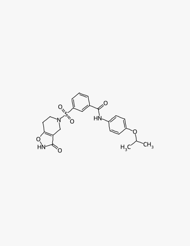 CC(C)Oc1ccc(NC(=O)c2cccc(S(=O)(=O)N3CCc4o[nH]c(=O)c4C3)c2)cc1